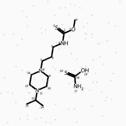 COC(=S)NCCCN1CCN(C(C)C)CC1.NC(O)=S